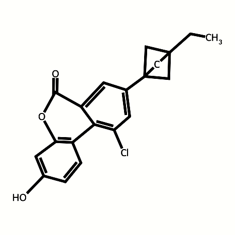 CCC12CC(c3cc(Cl)c4c(c3)c(=O)oc3cc(O)ccc34)(C1)C2